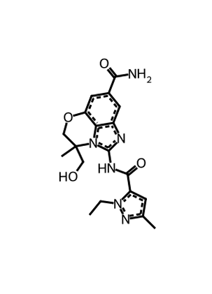 CCn1nc(C)cc1C(=O)Nc1nc2cc(C(N)=O)cc3c2n1C(C)(CO)CO3